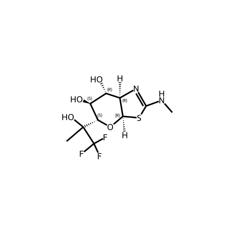 CNC1=N[C@@H]2[C@@H](O)[C@H](O)[C@@H](C(C)(O)C(F)(F)F)O[C@@H]2S1